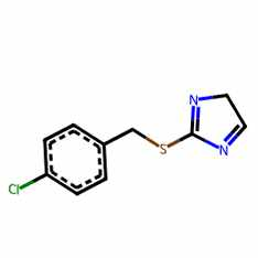 Clc1ccc(CSC2=NCC=N2)cc1